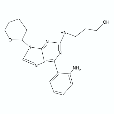 Nc1ccccc1-c1nc(NCCCO)nc2c1ncn2C1CCCCO1